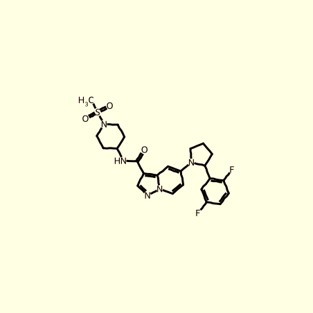 CS(=O)(=O)N1CCC(NC(=O)c2cnn3ccc(N4CCCC4c4cc(F)ccc4F)cc23)CC1